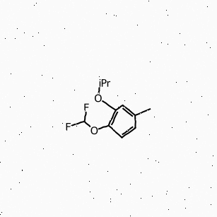 Cc1ccc(OC(F)F)c(OC(C)C)c1